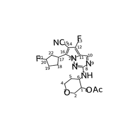 CC(=O)OC1COCCC1Nc1ncc2c(F)c(C#N)c(C3CCC(F)C3)n2n1